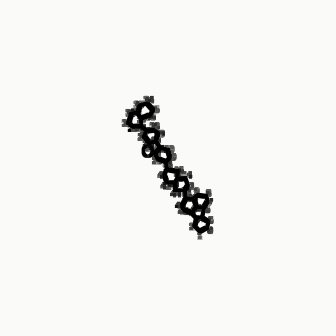 c1ccc2c(c1)-c1cccc3c(-c4ccc5cc(-c6ccc7c(c6)oc6cc(-c8cccc9ccccc89)ccc67)ccc5c4)ccc-2c13